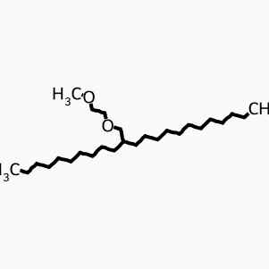 CCCCCCCCCCCCC(CCCCCCCCCC)COCCOC